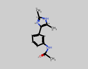 CC(=O)Nc1cccc(-c2nc(C)[nH]c2C)c1